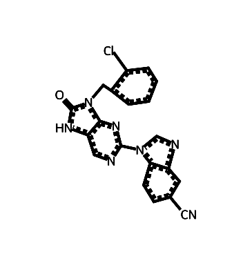 N#Cc1ccc2c(c1)ncn2-c1ncc2[nH]c(=O)n(Cc3ccccc3Cl)c2n1